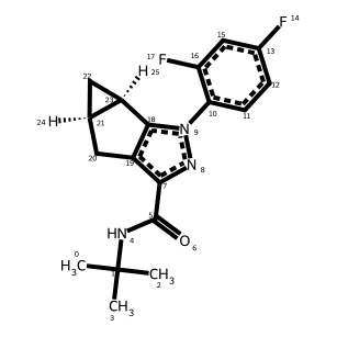 CC(C)(C)NC(=O)c1nn(-c2ccc(F)cc2F)c2c1C[C@H]1C[C@@H]21